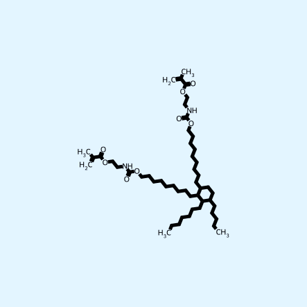 C=C(C)C(=O)OCCNC(=O)OCCCCCCCCCC1CCC(CCCCC)C(CCCCCCC)C1CCCCCCCCCOC(=O)NCCOC(=O)C(=C)C